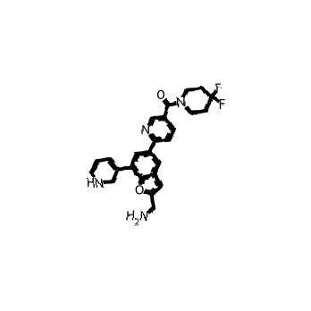 NCc1cc2cc(-c3ccc(C(=O)N4CCC(F)(F)CC4)cn3)cc(C3=CC=CNC3)c2o1